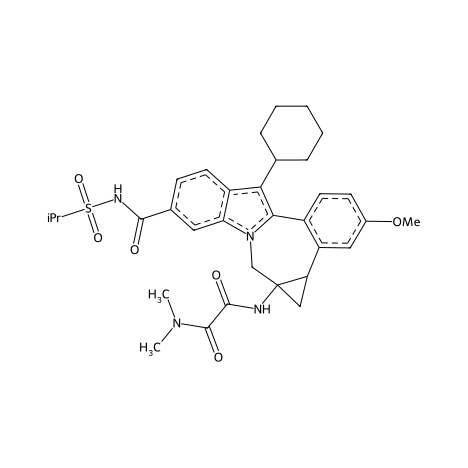 COc1ccc2c(c1)C1CC1(NC(=O)C(=O)N(C)C)Cn1c-2c(C2CCCCC2)c2ccc(C(=O)NS(=O)(=O)C(C)C)cc21